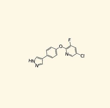 Fc1cc(Cl)cnc1Oc1ccc(-c2cn[nH]c2)cc1